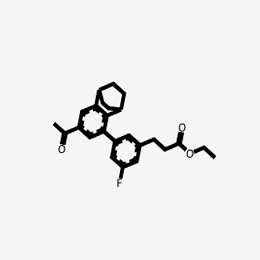 CCOC(=O)CCc1cc(F)cc(-c2cc(C(C)=O)cc3c2C2CCC3CC2)c1